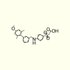 COc1cc(C)c(-c2cccc(CNc3ccc(S(=O)(=O)CC(=O)O)cc3)c2)c(C)c1